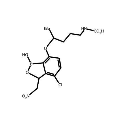 CC(C)(C)C(CCCNC(=O)O)Oc1ccc(Cl)c2c1B(O)OC2C[N+](=O)[O-]